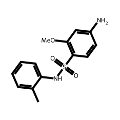 COc1cc(N)ccc1S(=O)(=O)Nc1ccccc1C